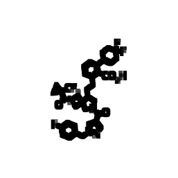 O=C(O)c1c(CCC2CN(C(=O)c3cnn(Cc4ccc(F)cc4)c3)CC23CN(C(=O)C2(C(F)(F)F)CC2)C3)cccc1C1=CCC(F)(F)CC1